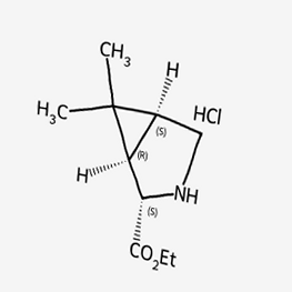 CCOC(=O)[C@H]1NC[C@H]2[C@@H]1C2(C)C.Cl